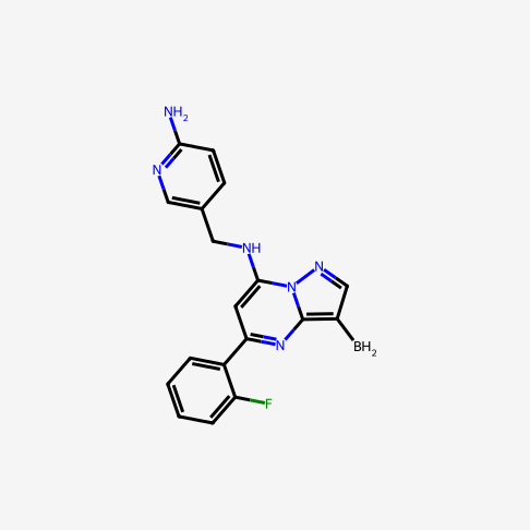 Bc1cnn2c(NCc3ccc(N)nc3)cc(-c3ccccc3F)nc12